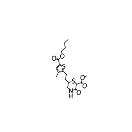 CCCCOC(=O)c1cc(C)c(CCC2CNC(=O)C(C(=O)OC)S2)s1